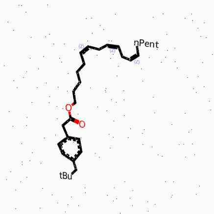 CCCCC/C=C\C/C=C\C/C=C\CCCCCOC(=O)Cc1ccc(CC(C)(C)C)cc1